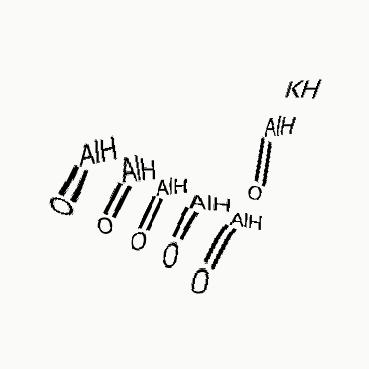 [KH].[O]=[AlH].[O]=[AlH].[O]=[AlH].[O]=[AlH].[O]=[AlH].[O]=[AlH]